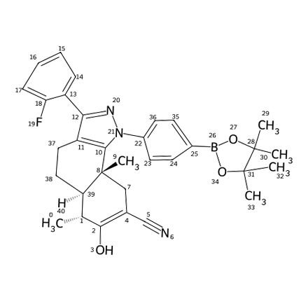 C[C@H]1C(O)=C(C#N)C[C@@]2(C)c3c(c(-c4ccccc4F)nn3-c3ccc(B4OC(C)(C)C(C)(C)O4)cc3)CC[C@H]12